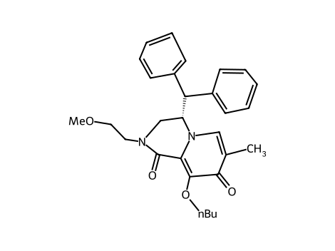 CCCCOc1c2n(cc(C)c1=O)[C@@H](C(c1ccccc1)c1ccccc1)CN(CCOC)C2=O